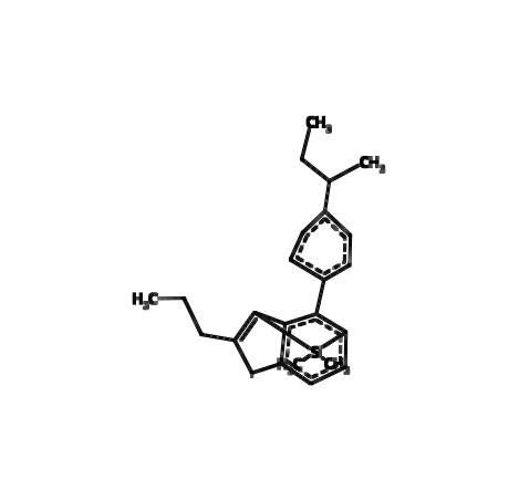 CCCC1=C2c3c(ccc(c3-c3ccc(C(C)CC)cc3)[Si]2(C)C)[CH]1